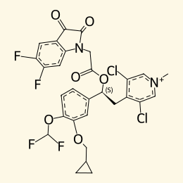 C[n+]1cc(Cl)c(C[C@H](OC(=O)CN2C(=O)C(=O)c3cc(F)c(F)cc32)c2ccc(OC(F)F)c(OCC3CC3)c2)c(Cl)c1